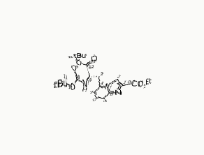 CCOC(=O)c1cn2c(C[C@H](NC(=O)OC(C)(C)C)C(=O)OC(C)(C)C)cccc2n1